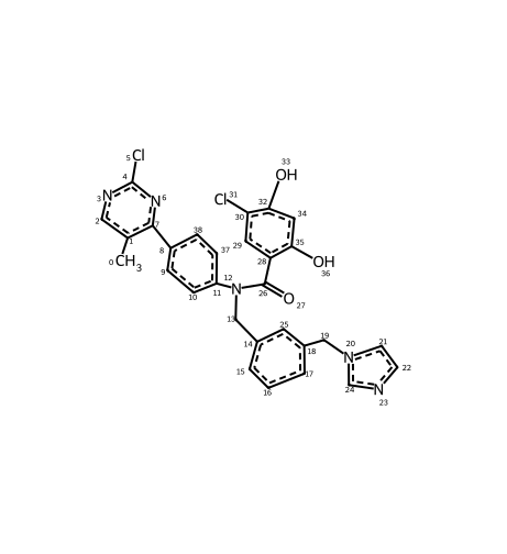 Cc1cnc(Cl)nc1-c1ccc(N(Cc2cccc(Cn3ccnc3)c2)C(=O)c2cc(Cl)c(O)cc2O)cc1